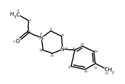 CCC(=O)N1CCN(c2ccc(C)cc2)CC1